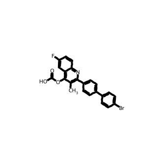 Cc1c(-c2ccc(-c3ccc(Br)cc3)cc2)nc2ccc(F)cc2c1OC(=O)O